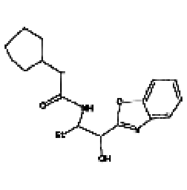 CCC(NC(=O)[CH]C1CCCCC1)C(O)c1nc2ccccc2o1